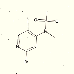 CN(c1cc(Br)ncc1I)S(C)(=O)=O